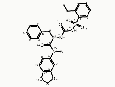 CCc1ccccc1S(=O)(=O)NC(=O)NC(Cc1ccccc1)C(=O)N(C)c1ccc2c(c1)OCO2